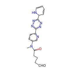 CN(C(=O)CCCC=O)c1ccc(-c2nnc(C3C=CC=CN3)nn2)nc1